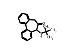 CC(C)(C)NC1C(=O)Cc2ccccc2-c2ccccc21